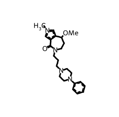 COC1CCN(CCCN2CCN(c3ccccc3)CC2)C(=O)c2cn(C)cc21